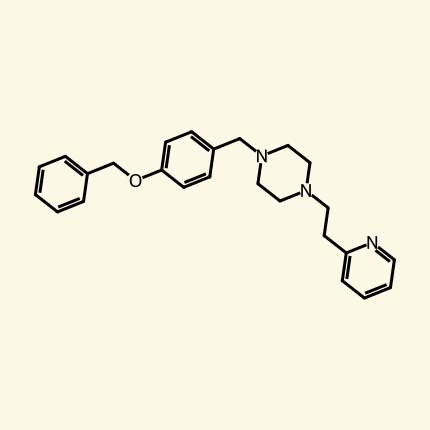 c1ccc(COc2ccc(CN3CCN(CCc4ccccn4)CC3)cc2)cc1